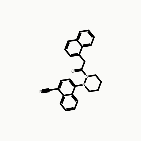 N#Cc1ccc(N2CCCCN2C(=O)Cc2cccc3ccccc23)c2ccccc12